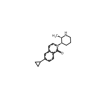 C[C@H]1NCCC[C@H]1n1ccc2cc(C3CC3)ccc2c1=O